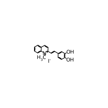 C[n+]1c(/C=C/c2ccc(O)c(O)c2)ccc2ccccc21.[I-]